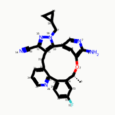 C[C@H]1Oc2cc(cnc2N)-c2c(c(C#N)nn2CC2CC2)Cc2cccnc2-c2ccc(F)cc21